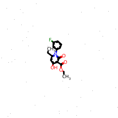 CCOC(=O)c1c(O)cc(CC)n(-c2cccc(F)c2)c1=O